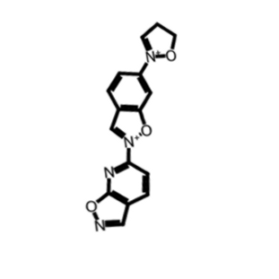 C1=[N+](c2ccc3c[n+](-c4ccc5cnoc5n4)oc3c2)OCC1